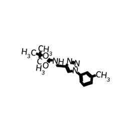 Cc1cccc(-n2cc(CNC(=O)OC(C)(C)C)nn2)c1